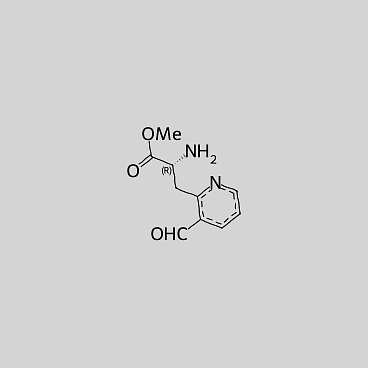 COC(=O)[C@H](N)Cc1ncccc1C=O